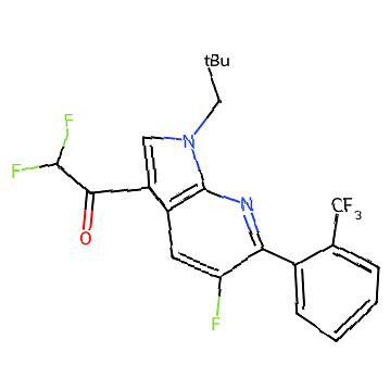 CC(C)(C)Cn1cc(C(=O)C(F)F)c2cc(F)c(-c3ccccc3C(F)(F)F)nc21